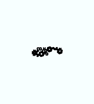 O=C(O)Cn1nnnc1SC1CCN(C(=O)Oc2ccc(CCSc3ccccn3)cc2)CC1